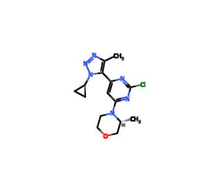 Cc1nnn(C2CC2)c1-c1cc(N2CCOC[C@H]2C)nc(Cl)n1